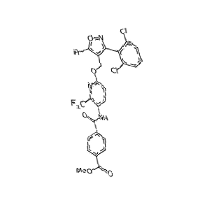 COC(=O)c1ccc(C(=O)Nc2ccc(OCc3c(-c4c(Cl)cccc4Cl)noc3C(C)C)nc2C(F)(F)F)cc1